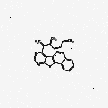 C=C/C=C\C(=C)C(=C)c1ncnc2sc3c4ccccc4ccc3c12